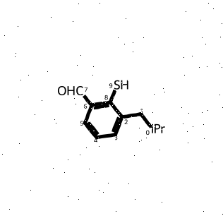 CC(C)Cc1cccc(C=O)c1S